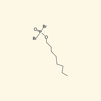 CCCCCCCCOP(=O)(Br)Br